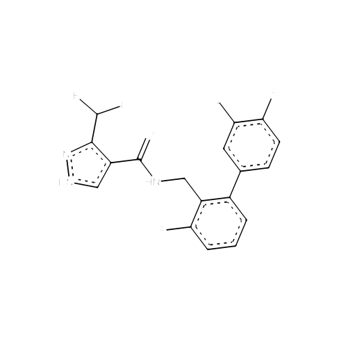 O=C(NCc1c(F)cccc1-c1ccc(F)c(Cl)c1)c1c[nH]nc1C(F)F